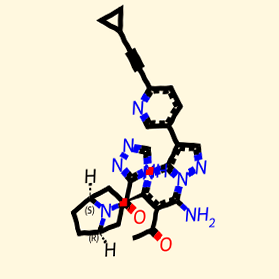 CC(=O)c1c([C@H]2C[C@H]3CC[C@@H](C2)N3C(=O)c2nnc[nH]2)nc2c(-c3ccc(C#CC4CC4)nc3)cnn2c1N